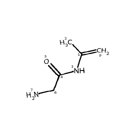 C=C(C)NC(=O)CN